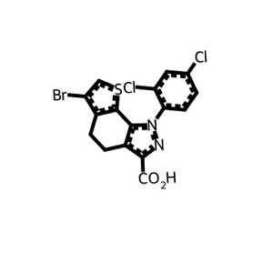 O=C(O)c1nn(-c2ccc(Cl)cc2Cl)c2c1CCc1c(Br)csc1-2